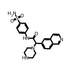 NS(=O)(=O)c1ccc(NC(=O)C(c2ccc3cnccc3c2)N2CCNCC2)cc1